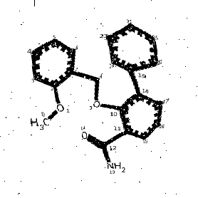 COc1ccccc1COc1c(C(N)=O)cccc1-c1ccccc1